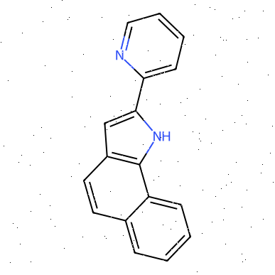 c1ccc(-c2cc3ccc4ccccc4c3[nH]2)nc1